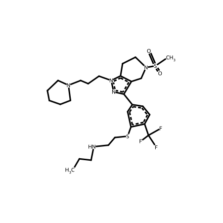 CCCNCCSc1cc(-c2nn(CCCN3CCCCC3)c3c2CN(S(C)(=O)=O)CC3)ccc1C(F)(F)F